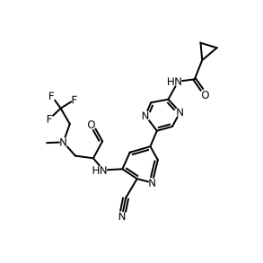 CN(CC(C=O)Nc1cc(-c2cnc(NC(=O)C3CC3)cn2)cnc1C#N)CC(F)(F)F